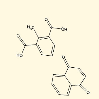 Cc1c(C(=O)O)cccc1C(=O)O.O=C1C=CC(=O)c2ccccc21